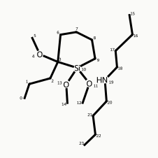 CCCC1(OC)CCCC[Si]1(OC)OC.CCCCNCCCC